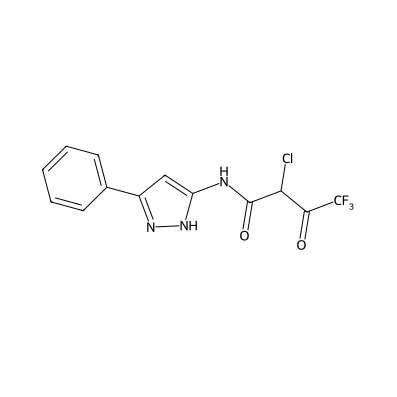 O=C(Nc1cc(-c2ccccc2)n[nH]1)C(Cl)C(=O)C(F)(F)F